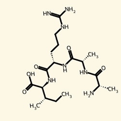 CC[C@H](C)[C@H](NC(=O)[C@H](CCCNC(=N)N)NC(=O)[C@H](C)NC(=O)[C@H](C)N)C(=O)O